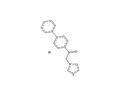 O=C(C[n+]1ccsc1)c1ccc(-c2ccccc2)cc1.[Br-]